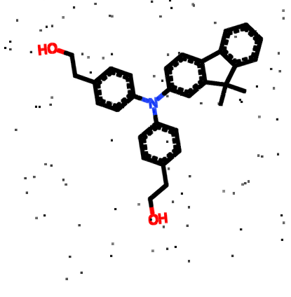 CC1(C)c2ccccc2-c2ccc(N(c3ccc(CCO)cc3)c3ccc(CCO)cc3)cc21